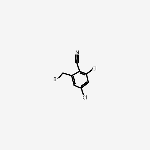 N#Cc1c(Cl)cc(Cl)cc1CBr